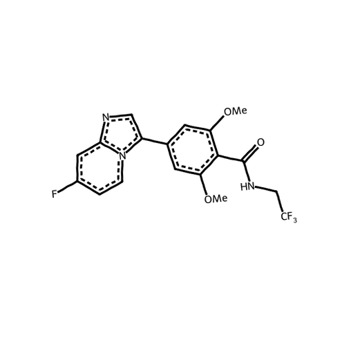 COc1cc(-c2cnc3cc(F)ccn23)cc(OC)c1C(=O)NCC(F)(F)F